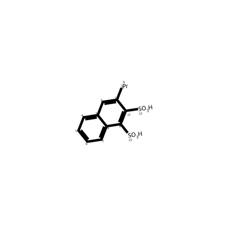 CC(C)c1cc2ccccc2c(S(=O)(=O)O)c1S(=O)(=O)O